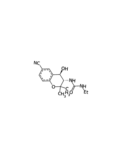 CCNC(=O)N[C@H]1[C@H](O)c2cc(C#N)ccc2OC1(C)C